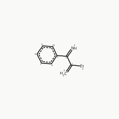 C=C(CC)C(=N)c1ccccc1